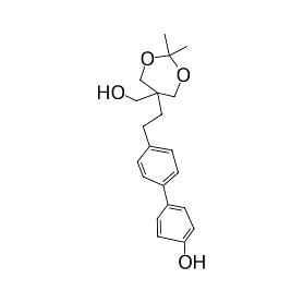 CC1(C)OCC(CO)(CCc2ccc(-c3ccc(O)cc3)cc2)CO1